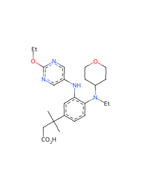 CCOc1ncc(Nc2cc(C(C)(C)CC(=O)O)ccc2N(CC)C2CCOCC2)cn1